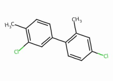 Cc1ccc(-c2ccc(Cl)cc2C)cc1Cl